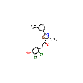 Cc1nc(-c2cccc(C(F)(F)F)c2)sc1C(=O)CCc1ccc(O)c(Cl)c1Cl